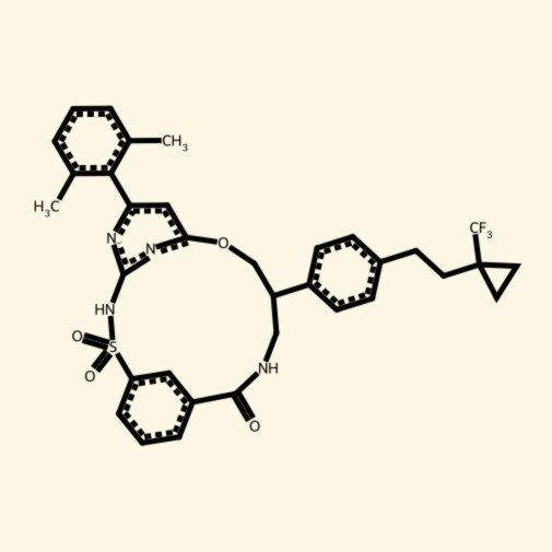 Cc1cccc(C)c1-c1cc2nc(n1)NS(=O)(=O)c1cccc(c1)C(=O)NCC(c1ccc(CCC3(C(F)(F)F)CC3)cc1)CO2